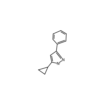 C1=C(C2CC2)[N]N=C1c1ccccc1